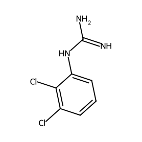 N=C(N)Nc1cccc(Cl)c1Cl